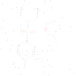 CC(C)(C)c1nnc([C@H]2CCCCN2S(=O)(=O)c2ccc(C(F)(F)F)cc2Cl)o1